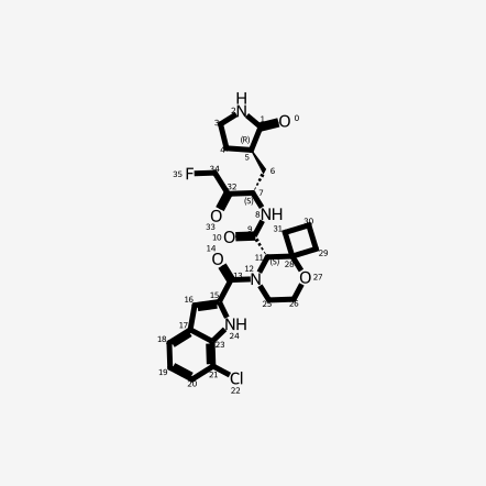 O=C1NCC[C@@H]1C[C@H](NC(=O)[C@H]1N(C(=O)c2cc3cccc(Cl)c3[nH]2)CCOC12CCC2)C(=O)CF